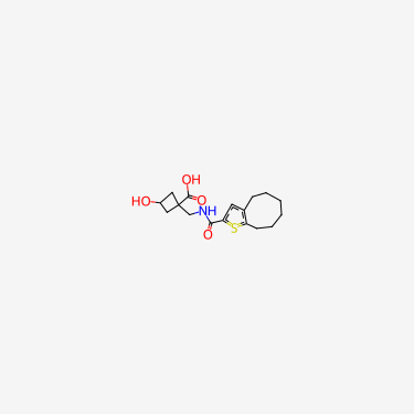 O=C(NCC1(C(=O)O)CC(O)C1)c1cc2c(s1)CCCCCC2